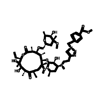 CC[C@H]1OC(=O)[C@H](C)[C@@H](OC[C@H]2C[C@@](C)(OC)[C@@H](O)[C@H](C)O2)[C@H](C)[C@@H](O[C@@H]2O[C@H](C)C[C@H](N(C)CCc3cn(Cc4ccc(C(=O)OC)cc4)nn3)[C@H]2O)[C@](C)(OC)C[C@@H](C)C(=O)[C@H](C)[C@@H](O)[C@]1(C)O